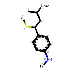 CNC(C)CC(SC(C)C)c1ccc(NC(C)C)cc1